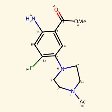 COC(=O)c1cc(N2CCN(C(C)=O)CC2)c(F)cc1N